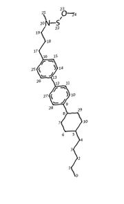 CCCCCC1CCC(c2ccc(-c3ccc(CCCN(C)SOC)cc3)cc2)CC1